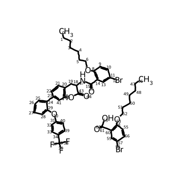 CCCCCCCOc1ccc(Br)cc1C(=O)NC(Cc1ccc(-c2ccccc2Oc2ccc(C(F)(F)F)cc2)cc1)C(=O)O.CCCCCCCOc1ccc(Br)cc1C(=O)O